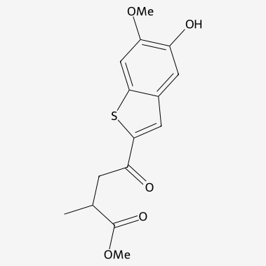 COC(=O)C(C)CC(=O)c1cc2cc(O)c(OC)cc2s1